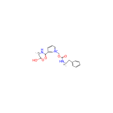 C[C@H](NC(=O)c1ccc[n+](COC(=O)N[C@@H](C)Cc2ccccc2)c1)C(=O)O